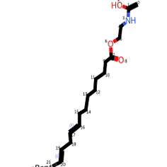 C=C(O)NCCOC(=O)CCCCCCC/C=C/C/C=C/CCCCC